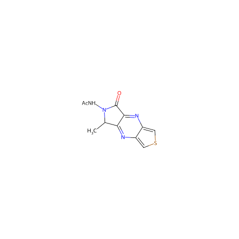 CC(=O)NN1C(=O)c2nc3cscc3nc2C1C